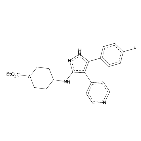 CCOC(=O)N1CCC(Nc2n[nH]c(-c3ccc(F)cc3)c2-c2ccncc2)CC1